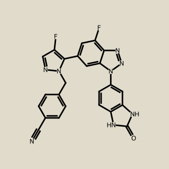 N#Cc1ccc(Cn2ncc(F)c2-c2cc(F)c3nnn(-c4ccc5[nH]c(=O)[nH]c5c4)c3c2)cc1